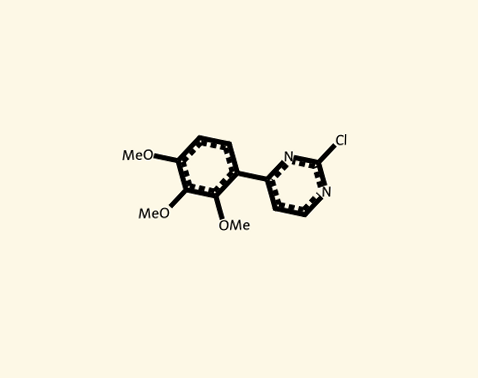 COc1ccc(-c2ccnc(Cl)n2)c(OC)c1OC